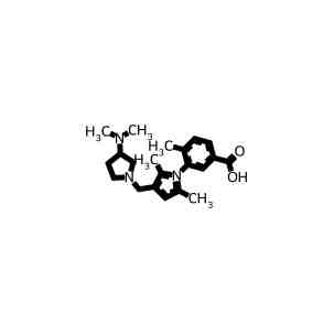 Cc1ccc(C(=O)O)cc1-n1c(C)cc(CN2CCC(N(C)C)C2)c1C